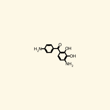 Nc1ccc(C(=O)c2ccc(N)c(O)c2O)cc1